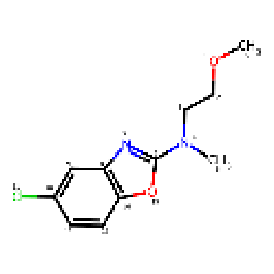 COCCN(C)c1nc2cc(Cl)ccc2o1